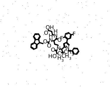 CC(C)(C)C(c1cc(-c2cc(F)ccc2F)cn1Cc1ccccc1)N(CCC(NC(=O)OCC1c2ccccc2-c2ccccc21)C(=O)NCCC(=O)O)C(=O)CO